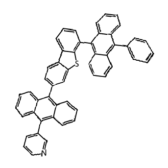 c1ccc(-c2c3ccccc3c(-c3cccc4c3sc3cc(-c5c6ccccc6c(-c6cccnc6)c6ccccc56)ccc34)c3ccccc23)cc1